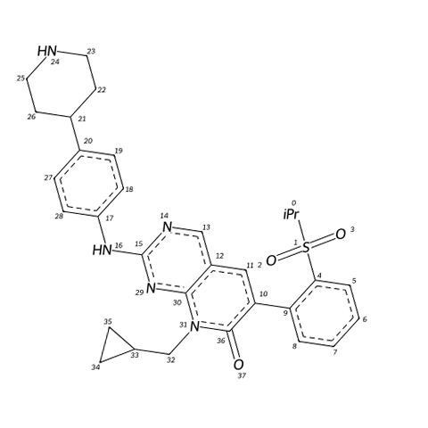 CC(C)S(=O)(=O)c1ccccc1-c1cc2cnc(Nc3ccc(C4CCNCC4)cc3)nc2n(CC2CC2)c1=O